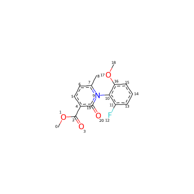 COC(=O)c1ccc(C)n(-c2c(F)cccc2OC)c1=O